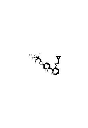 CC(F)(F)COc1ccc(-c2ncccc2SCC2CC2)nc1